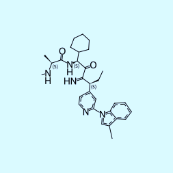 CC[C@H](C(=N)C(=O)[C@@H](NC(=O)[C@H](C)NC)C1CCCCC1)c1ccnc(-n2cc(C)c3ccccc32)c1